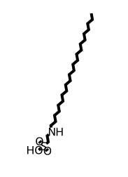 CCCCCCCCCCCCCCCCCCCCCCCNCCS(=O)(=O)O